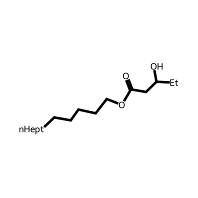 CCCCCCCCCCCCOC(=O)CC(O)CC